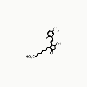 O=C(O)CCCCCCC1C(=O)CC(O)C1/C=C/c1cc(C(F)(F)F)ccc1F